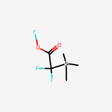 C[Si](C)(C)C(F)(F)C(=O)OF